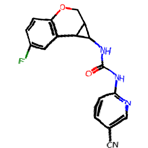 N#Cc1ccc(NC(=O)NC2C3COc4ccc(F)cc4C32)nc1